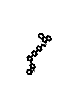 C1=Cc2c(c3nc(-c4ccc(-c5ccc(-c6cccc(-c7ccc8sc9ccccc9c8c7)c6)cc5)cc4)cnc3c3ccccc23)CC1